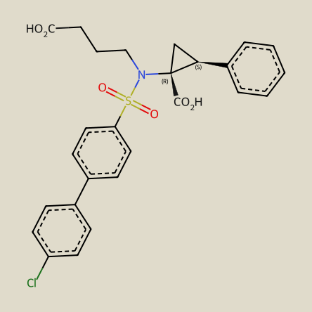 O=C(O)CCCN([C@]1(C(=O)O)C[C@H]1c1ccccc1)S(=O)(=O)c1ccc(-c2ccc(Cl)cc2)cc1